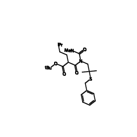 CNC(=O)N(CC(C)(C)SCc1ccccc1)C(=O)C(CCC(C)C)C(=O)OC(C)(C)C